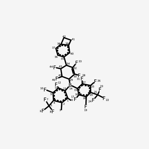 Cc1c(C)c(C(F)(F)F)c(F)c(F)c1B(c1c(F)c(F)c(C(F)(F)F)c(F)c1F)C1C(F)=C(F)C(c2ccc3c(c2)CC3)C(F)C1F